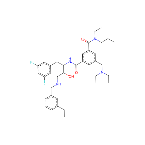 CCCN(CC)C(=O)c1cc(CN(CC)CC)cc(C(=O)NC(Cc2cc(F)cc(F)c2)C(O)CNCc2cccc(CC)c2)c1